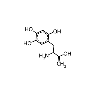 C=C(O)C(N)Cc1cc(O)c(O)cc1O